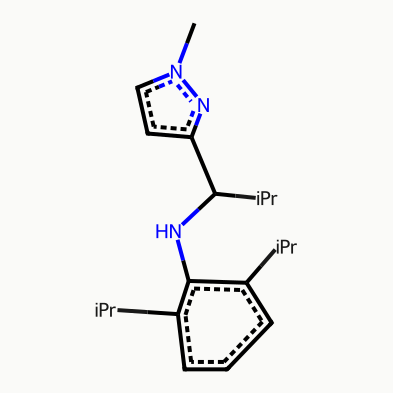 CC(C)c1cccc(C(C)C)c1NC(c1ccn(C)n1)C(C)C